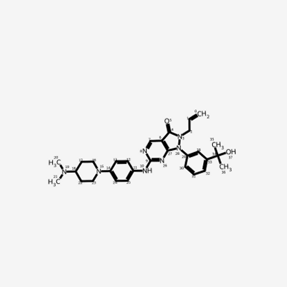 C=CCn1c(=O)c2cnc(Nc3ccc(N4CCC(N(C)C)CC4)cc3)nc2n1-c1cccc(C(C)(C)O)c1